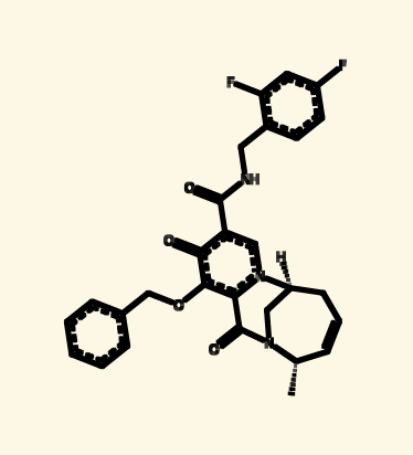 C[C@H]1C=CC[C@H]2CN1C(=O)c1c(OCc3ccccc3)c(=O)c(C(=O)NCc3ccc(F)cc3F)cn12